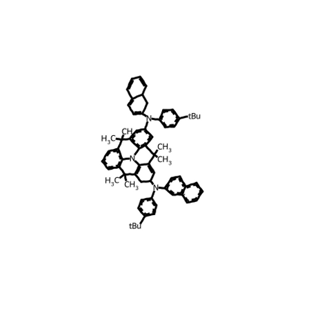 CC(C)(C)c1ccc(N(C2=CC=C3C=CC=CC3C2)c2cc3c4c(c2)C(C)(C)c2cccc5c2N4C2=C(CC(N(c4ccc(C(C)(C)C)cc4)c4ccc6ccccc6c4)C=C2C3(C)C)C5(C)C)cc1